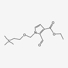 CCOC(=O)c1ccn(COCCS(C)(C)C)c1C=O